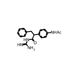 CC(=O)Nc1ccc(C(Cc2ccccc2)C(=O)NC(=N)N)cc1